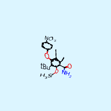 Cc1c(C)c(C(N)=O)c(O[SiH3])c(C(C)(C)C)c1Oc1ccc([N+](=O)[O-])cc1